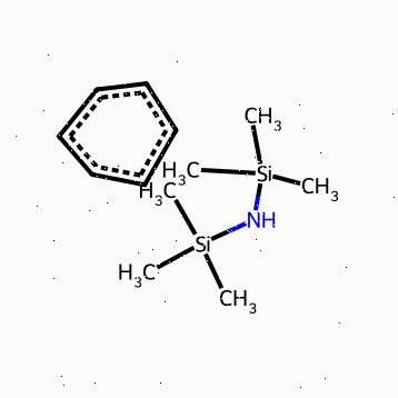 C[Si](C)(C)N[Si](C)(C)C.c1ccccc1